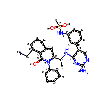 C[C@H](Nc1nc(N)ncc1-c1cccc(NS(C)(=O)=O)c1)c1cc2cccc(CI)c2c(=O)n1-c1ccccc1